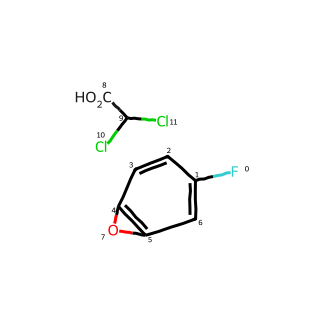 Fc1ccc2c(c1)O2.O=C(O)C(Cl)Cl